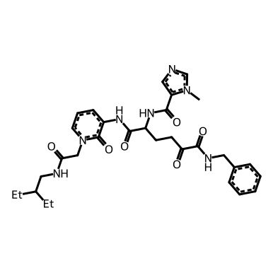 CCC(CC)CNC(=O)Cn1cccc(NC(=O)C(CCC(=O)C(=O)NCc2ccccc2)NC(=O)c2cncn2C)c1=O